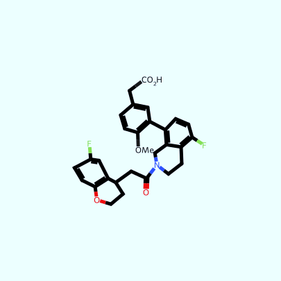 COc1ccc(CC(=O)O)cc1-c1ccc(F)c2c1CN(C(=O)CC1CCOc3ccc(F)cc31)CC2